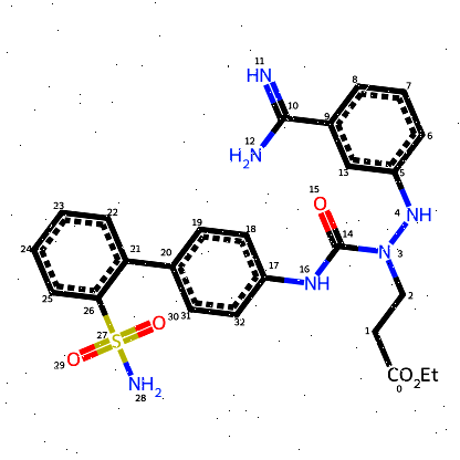 CCOC(=O)CCN(Nc1cccc(C(=N)N)c1)C(=O)Nc1ccc(-c2ccccc2S(N)(=O)=O)cc1